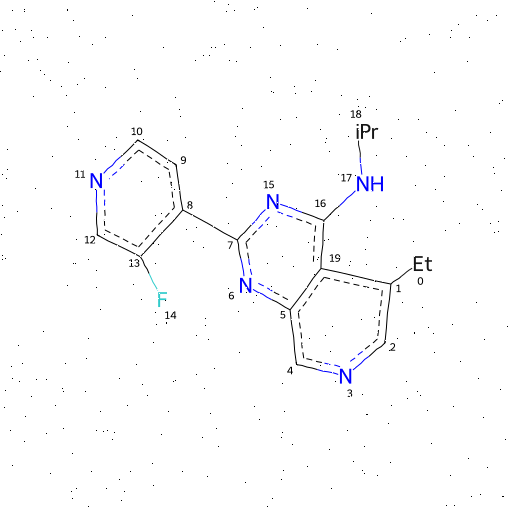 CCc1cncc2nc(-c3ccncc3F)nc(NC(C)C)c12